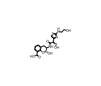 O=C(NC1Cc2cccc(C(=O)O)c2OB1O)C(=NO)c1csc(NCCO)n1